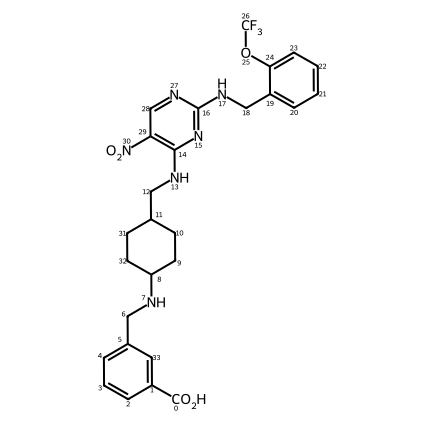 O=C(O)c1cccc(CNC2CCC(CNc3nc(NCc4ccccc4OC(F)(F)F)ncc3[N+](=O)[O-])CC2)c1